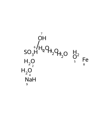 O.O.O.O.O.O.O=S(=O)(O)O.[Fe].[NaH]